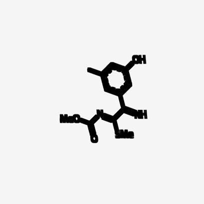 COC(=O)N=C(SC)C(=N)c1cc(C)cc(O)c1